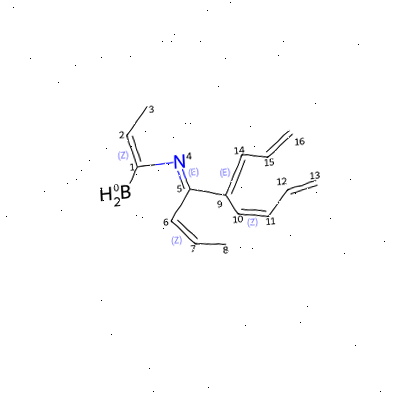 BC(=C/C)/N=C(\C=C/C)C(/C=C\C=C)=C/C=C